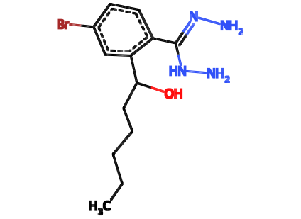 CCCCCC(O)c1cc(Br)ccc1/C(=N/N)NN